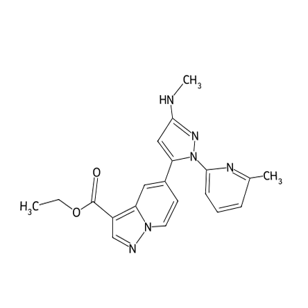 CCOC(=O)c1cnn2ccc(-c3cc(NC)nn3-c3cccc(C)n3)cc12